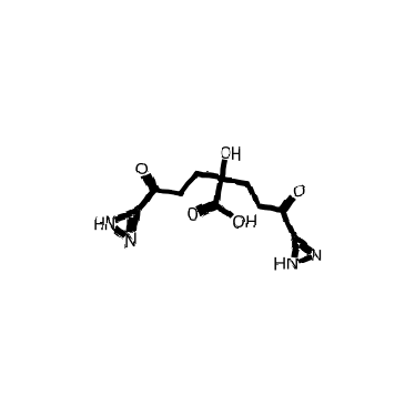 O=C(CCC(O)(CCC(=O)C1=NN1)C(=O)O)C1=NN1